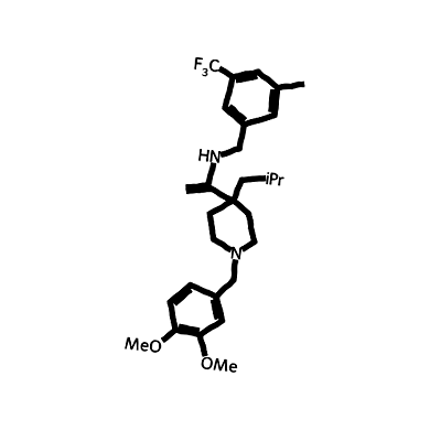 C=C(NCc1cc(C)cc(C(F)(F)F)c1)C1(CC(C)C)CCN(Cc2ccc(OC)c(OC)c2)CC1